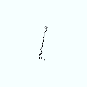 CC=CCCCCCCCC[O]